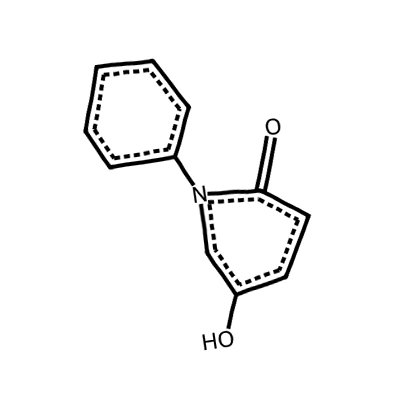 O=c1ccc(O)cn1-c1ccccc1